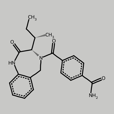 CC[C@H](C)[C@H]1C(=O)Nc2ccccc2CN1C(=O)c1ccc(C(N)=O)cc1